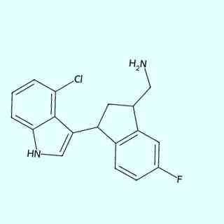 NCC1CC(c2c[nH]c3cccc(Cl)c23)c2ccc(F)cc21